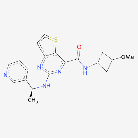 COC1CC(NC(=O)c2nc(N[C@@H](C)c3cccnc3)nc3ccsc23)C1